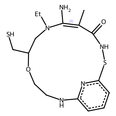 CCN1CC(CS)OCCNc2cccc(n2)SNC(=O)/C(C)=C\1N